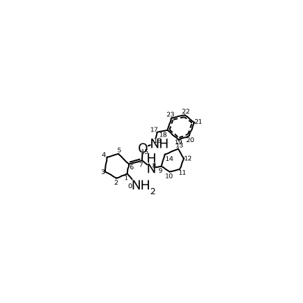 NC1CCCCC1=C(NC1CCCCC1)ONCc1ccccc1